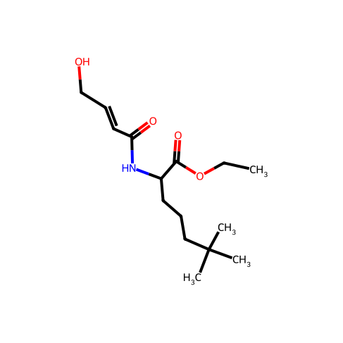 CCOC(=O)C(CCCC(C)(C)C)NC(=O)/C=C/CO